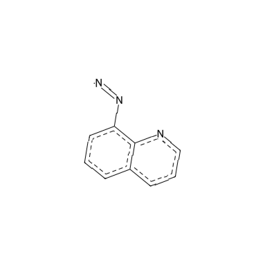 [N]=Nc1cccc2cccnc12